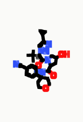 CC(C)(C)[C@@H](C(=O)N1CC(O)CC1C(=O)NC1(c2ccc(C#N)cc2)CCOCC1)n1cc(C2CC2)nn1